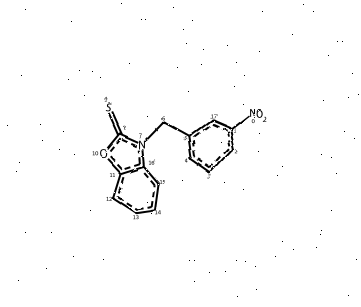 O=[N+]([O-])c1cccc(Cn2c(=S)oc3ccccc32)c1